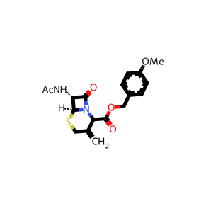 C=C1CS[C@H]2[C@H](NC(C)=O)C(=O)N2C1C(=O)OCc1ccc(OC)cc1